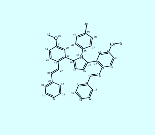 COc1ccc(C=Cc2ccccc2)c(-c2ccc(-c3cc(OC)ccc3C=Cc3ccccc3)n2-c2ccc(C)cc2)c1